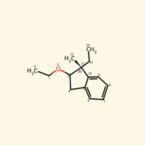 CCOC1Cc2ccccc2[C@@]1(C)CC